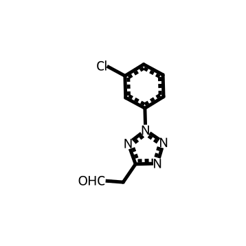 O=CCc1nnn(-c2cccc(Cl)c2)n1